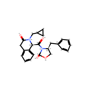 O=C1Cc2ccccc2[C@H](C(=O)N2C(=O)OC[C@@H]2Cc2ccccc2)N1CC1CC1